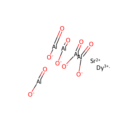 [Dy+3].[O]=[Al][O-].[O]=[Al][O-].[O]=[Al][O-].[O]=[Al][O-].[O]=[Al][O-].[Sr+2]